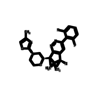 Cc1coc(N2CCO[C@@H](C34CC[C@@H](c5cc(-c6c(F)cccc6F)nnc53)C4(C)C)C2)n1